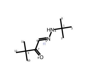 CC(C)(C)N/N=C/C(=O)C(C)(C)C